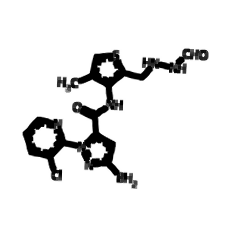 Bc1cc(C(=O)Nc2c(C)csc2CNNC=O)n(-c2ncccc2Cl)n1